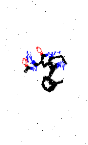 Cc1nc(-c2cc3c(-c4ccccc4C)nccc3[nH]c2=O)no1